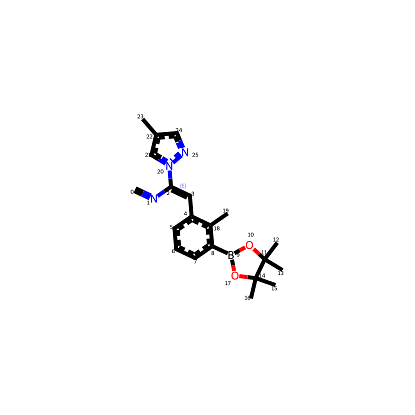 C=N/C(=C\c1cccc(B2OC(C)(C)C(C)(C)O2)c1C)n1cc(C)cn1